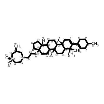 CC1CC=C(C2=CCC3(C)C(CCC4(C)C5CCC6(NCCN7CCS(=O)(=O)CC(C)C7)CCC[C@@H]6C5CCC43)C2(C)C)CC1